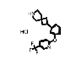 Cl.FC(F)(F)c1ccc(Oc2cccc(C3CC4(CCNCC4)C3)c2)nc1